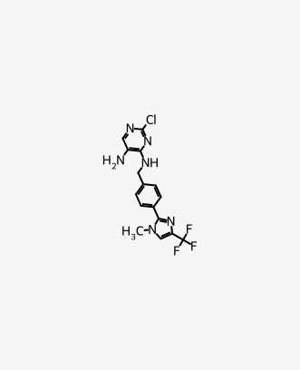 Cn1cc(C(F)(F)F)nc1-c1ccc(CNc2nc(Cl)ncc2N)cc1